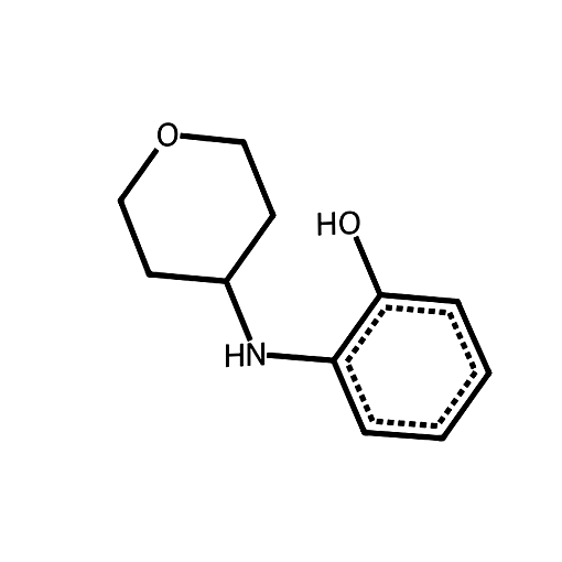 Oc1ccccc1NC1CCOCC1